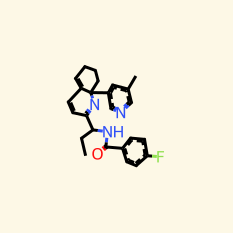 CCC(NC(=O)c1ccc(F)cc1)C1=NC2(c3cncc(C)c3)CCCC=C2C=C1